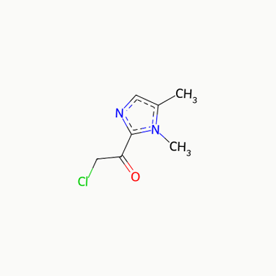 Cc1cnc(C(=O)CCl)n1C